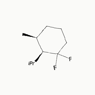 CC(C)[C@H]1[C@@H](C)CCCC1(F)F